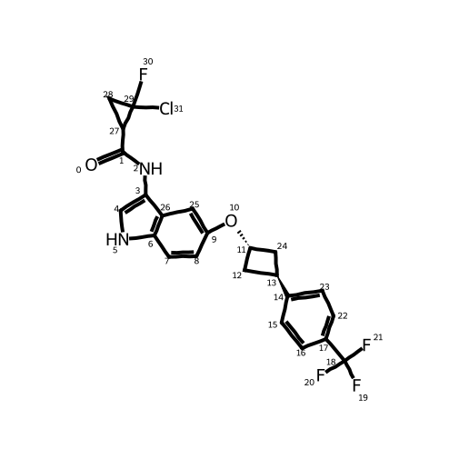 O=C(Nc1c[nH]c2ccc(O[C@H]3C[C@H](c4ccc(C(F)(F)F)cc4)C3)cc12)C1CC1(F)Cl